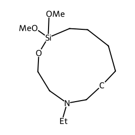 CCN1CCCCCC[Si](OC)(OC)OCC1